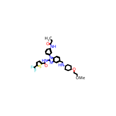 C=CC(=O)Nc1cccc(-n2c(NC(=O)c3ccc(C(F)F)s3)nc3cc(CN[C@H]4CC[C@@H](OCCOC)CC4)ccc32)c1